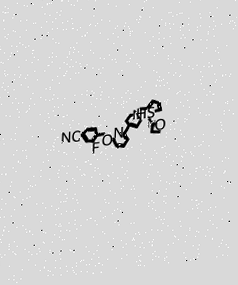 N#Cc1ccc(COc2cccc(C3=CCN(CC4=CC=C[SH]4C[C@@H]4CCO4)CC3)n2)c(F)c1